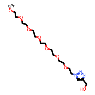 CCCOCCOCCOCCOCCOCCOCCOCCn1cc(CO)nn1